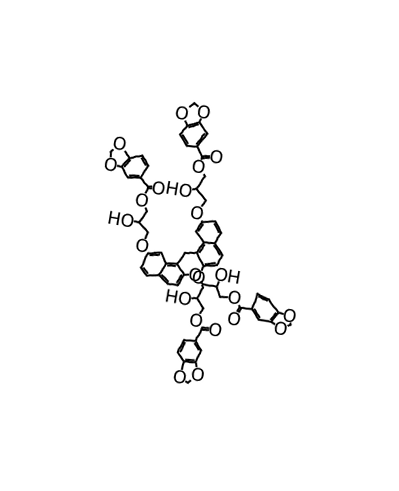 O=C(OCC(O)COc1ccc2ccc(OCC(O)COC(=O)c3ccc4c(c3)OCO4)c(Cc3c(OCC(O)COC(=O)c4ccc5c(c4)OCO5)ccc4ccc(OCC(O)COC(=O)c5ccc6c(c5)OCO6)cc34)c2c1)c1ccc2c(c1)OCO2